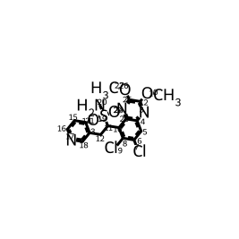 COc1nc2cc(Cl)c(Cl)c(C(Cc3cccnc3)S(N)(=O)=O)c2nc1OC